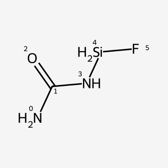 NC(=O)N[SiH2]F